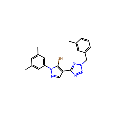 Cc1cccc(Cn2nnc(-c3cnn(-c4cc(C)cc(C)c4)c3S)n2)c1